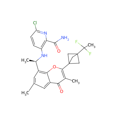 Cc1cc([C@@H](C)Nc2ccc(Cl)nc2C(N)=O)c2oc(C34CC(C(C)(F)F)(C3)C4)c(C)c(=O)c2c1